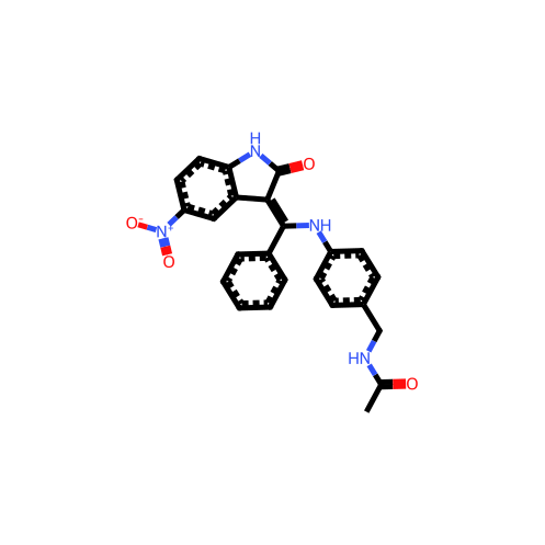 CC(=O)NCc1ccc(N/C(=C2\C(=O)Nc3ccc([N+](=O)[O-])cc32)c2ccccc2)cc1